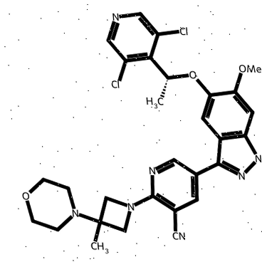 COc1cc2[nH]nc(-c3cnc(N4CC(C)(N5CCOCC5)C4)c(C#N)c3)c2cc1O[C@H](C)c1c(Cl)cncc1Cl